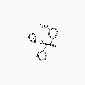 O=C(Nc1cccc(O)c1)c1ccccc1.c1cc2cc(c1)C2